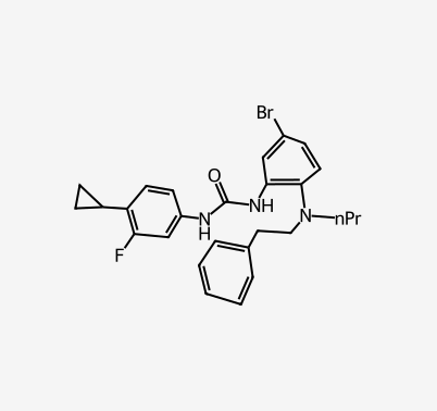 CCCN(CCc1ccccc1)c1ccc(Br)cc1NC(=O)Nc1ccc(C2CC2)c(F)c1